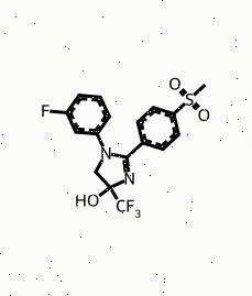 CS(=O)(=O)c1ccc(C2=NC(O)(C(F)(F)F)CN2c2cccc(F)c2)cc1